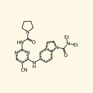 CCN(CC)C(=O)n1ccc2cc(Nc3nc(NC(=O)N4CCCC4)ncc3C#N)ccc21